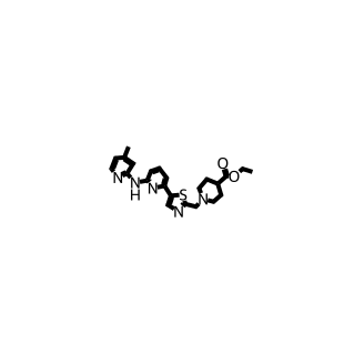 CCOC(=O)C1CCN(Cc2ncc(-c3cccc(Nc4cc(C)ccn4)n3)s2)CC1